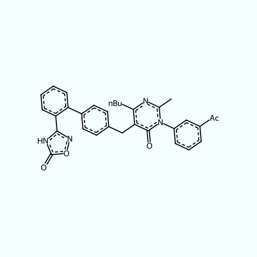 CCCCc1nc(C)n(-c2cccc(C(C)=O)c2)c(=O)c1Cc1ccc(-c2ccccc2-c2noc(=O)[nH]2)cc1